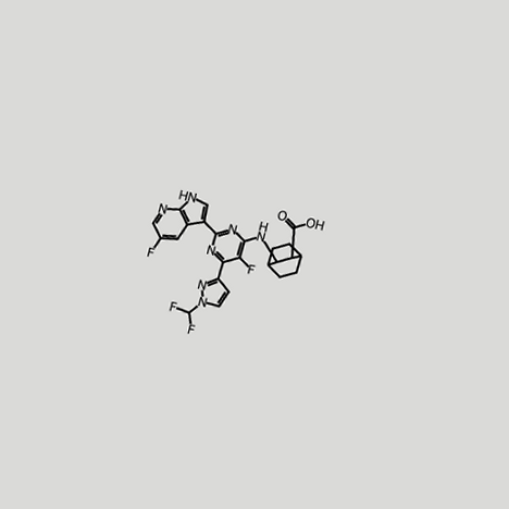 O=C(O)C1C2CCC(CC2)C1Nc1nc(-c2c[nH]c3ncc(F)cc23)nc(-c2ccn(C(F)F)n2)c1F